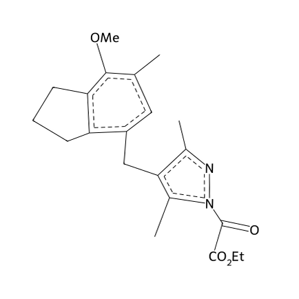 CCOC(=O)C(=O)n1nc(C)c(Cc2cc(C)c(OC)c3c2CCC3)c1C